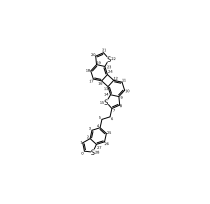 c1cc2cc(CCc3cc4ccc5c(c4s3)-c3ccc4ccsc4c3-5)ccc2s1